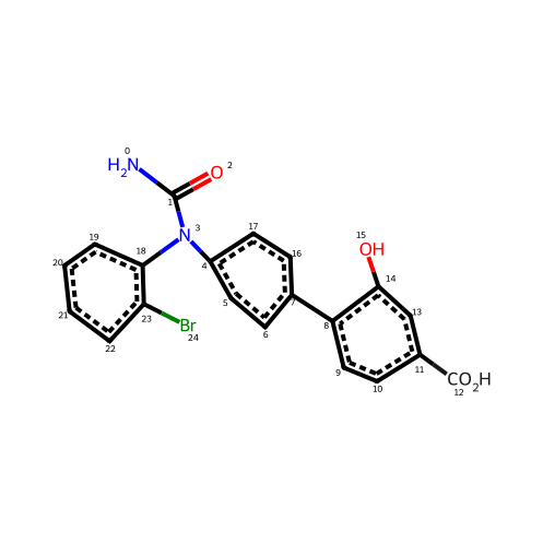 NC(=O)N(c1ccc(-c2ccc(C(=O)O)cc2O)cc1)c1ccccc1Br